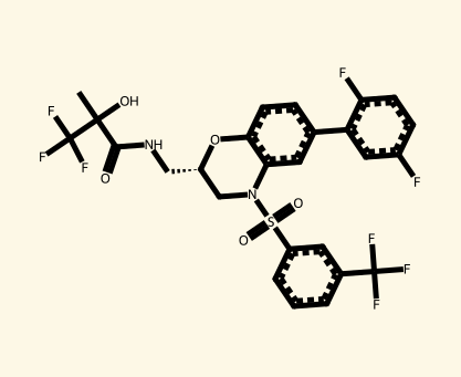 CC(O)(C(=O)NC[C@H]1CN(S(=O)(=O)c2cccc(C(F)(F)F)c2)c2cc(-c3cc(F)ccc3F)ccc2O1)C(F)(F)F